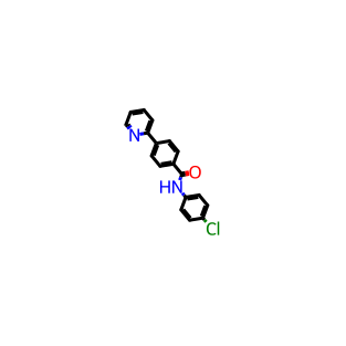 O=C(Nc1ccc(Cl)cc1)c1ccc(-c2ccccn2)cc1